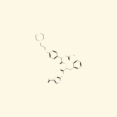 CCC(=O)c1csc(NC(=O)[C@@H](NC(=O)[C@H](NC(=O)OC(C)(C)C)c2ccc(OCCN3CCOCC3)cc2)[C@@H](C)c2ccccc2)n1